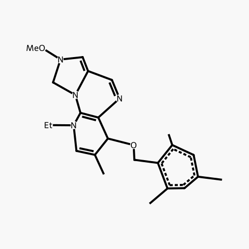 CCN1C=C(C)C(OCc2c(C)cc(C)cc2C)C2=C1N1CN(OC)C=C1C=N2